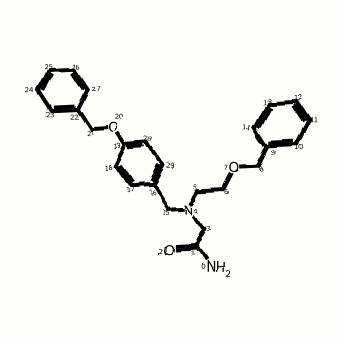 NC(=O)CN(CCOCc1ccccc1)Cc1ccc(OCc2ccccc2)cc1